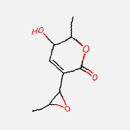 CC1OC(=O)C(C2OC2C)=CC1O